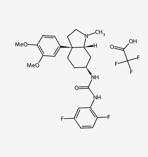 COc1ccc([C@]23CC[C@H](NC(=O)Nc4cc(F)ccc4F)C[C@H]2N(C)CC3)cc1OC.O=C(O)C(F)(F)F